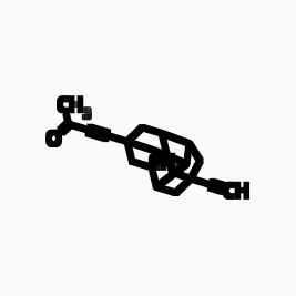 C#CC12CC3C4CC5(C#CC(C)=O)CC3C(C1)C(C4C2)C5C